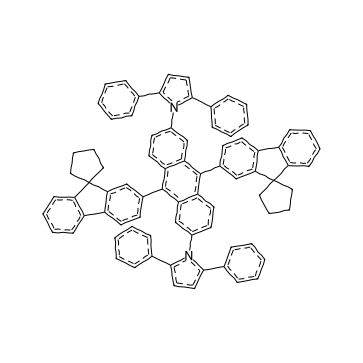 c1ccc(-c2ccc(-c3ccccc3)n2-c2ccc3c(-c4ccc5c(c4)C4(CCCC4)c4ccccc4-5)c4cc(-n5c(-c6ccccc6)ccc5-c5ccccc5)ccc4c(-c4ccc5c(c4)C4(CCCC4)c4ccccc4-5)c3c2)cc1